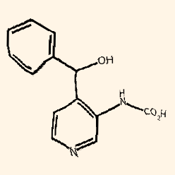 O=C(O)Nc1cnccc1C(O)c1ccccc1